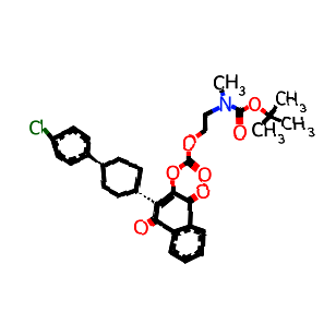 CN(CCOC(=O)OC1=C([C@H]2CC[C@H](c3ccc(Cl)cc3)CC2)C(=O)c2ccccc2C1=O)C(=O)OC(C)(C)C